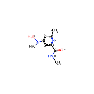 BN(C)c1cc(C)nc(C(=O)NC)c1